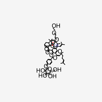 CC(C)=CCCC1(C)C=Cc2c(c(CC=C(C)C)c3c(c2OC(=O)c2ccc(O[C@@H]4O[C@H](CO)[C@@H](O)[C@@H](O)[C@H]4O)cc2)C(=O)C2=CC4CC5C(C)(C)OC(C/C=C(/C)C(=O)OCCOCCO)(C4=O)C25O3)O1